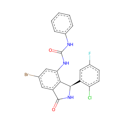 O=C(Nc1ccccc1)Nc1cc(Br)cc2c1[C@@H](c1cc(F)ccc1Cl)NC2=O